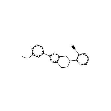 COc1cccc(-c2nc3c(o2)CCC(c2ncccc2C#N)C3)c1